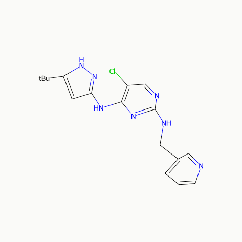 CC(C)(C)c1cc(Nc2nc(NCc3cccnc3)ncc2Cl)n[nH]1